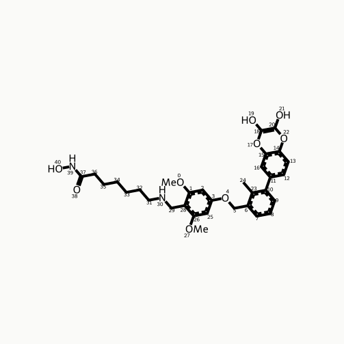 COc1cc(OCc2cccc(-c3ccc4c(c3)OC(O)=C(O)O4)c2C)cc(OC)c1CNCCCCCCC(=O)NO